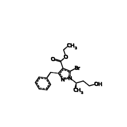 CCOC(=O)c1c(Cc2ccccc2)nn([C@H](C)CCO)c1Br